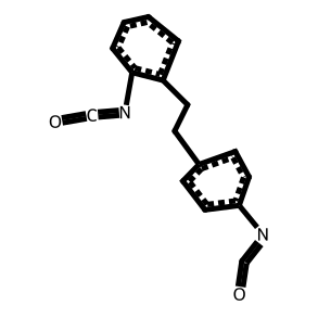 O=C=Nc1ccc(CCc2ccccc2N=C=O)cc1